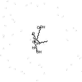 C(OCC1CO1)C1CO1.CCCCC/C=C\C/C=C\CCCCCCCC(=O)O.OCCNCCO